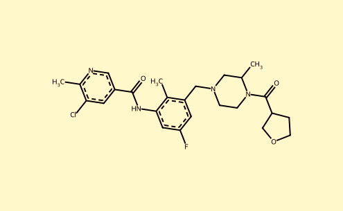 Cc1ncc(C(=O)Nc2cc(F)cc(CN3CCN(C(=O)C4CCOC4)C(C)C3)c2C)cc1Cl